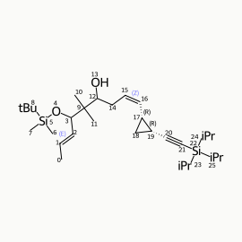 C/C=C/C(O[Si](C)(C)C(C)(C)C)C(C)(C)C(O)C/C=C\[C@H]1C[C@H]1C#C[Si](C(C)C)(C(C)C)C(C)C